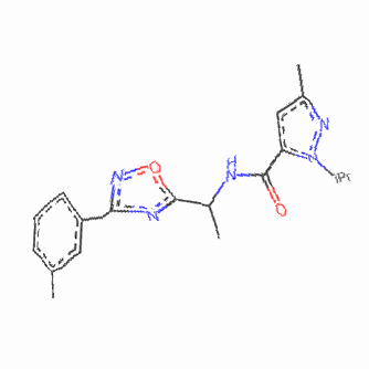 Cc1cccc(-c2noc(C(C)NC(=O)c3cc(C)nn3C(C)C)n2)c1